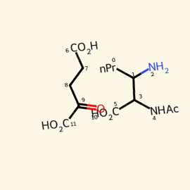 CCCC(N)C(NC(C)=O)C(=O)O.O=C(O)CCC(=O)C(=O)O